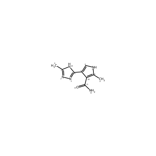 Cc1nnc(-c2c[nH]c(C)c2C(N)=O)[nH]1